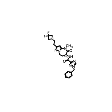 CN1C(=O)[C@@H](NC(=O)c2ncn(Cc3ccccc3)n2)CCn2nc(CCN3CC(F)(F)C3)cc21